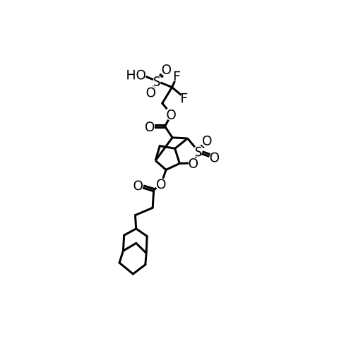 O=C(CCC1CC2CCCC(C2)C1)OC1C2CC3C1OS(=O)(=O)C3C2C(=O)OCC(F)(F)S(=O)(=O)O